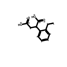 CCc1ccccc1C(CC(=O)O)C(=O)O